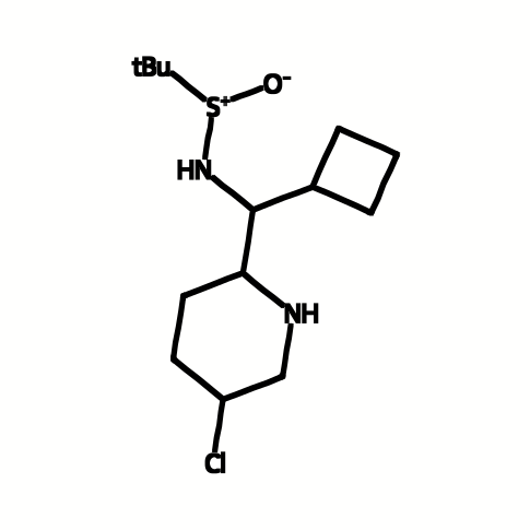 CC(C)(C)[S+]([O-])NC(C1CCC1)C1CCC(Cl)CN1